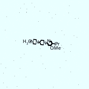 COc1cc(N2CCC(N3CCN(C)CC3)CC2)ncc1C(C)C